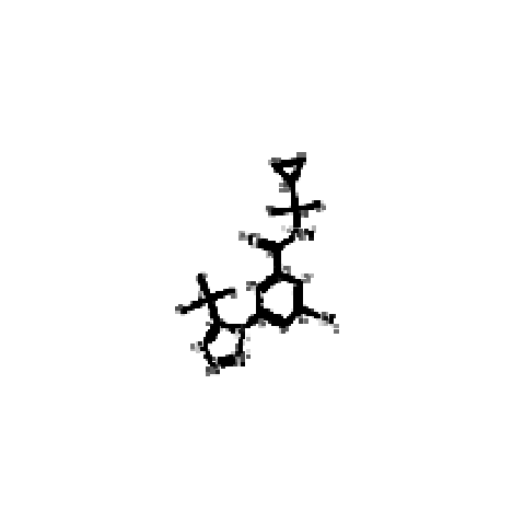 CC(C)(C)c1nnnn1-c1cc(Br)cc(C(=O)NC(C)(C)C2CC2)c1